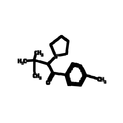 Cc1ccc(C(=O)C([S+]2CCCC2)C(C)(C)C)cc1